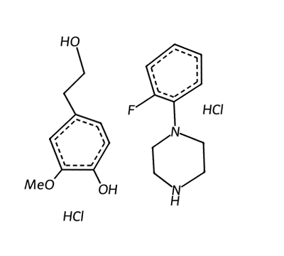 COc1cc(CCO)ccc1O.Cl.Cl.Fc1ccccc1N1CCNCC1